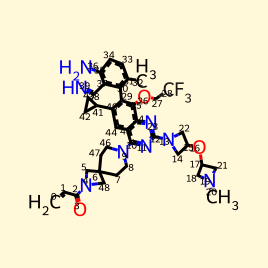 C=CC(=O)N1CC2(CCN(c3nc(N4CC(OC5CN(C)C5)C4)nc4c(OCC(F)(F)F)c(-c5c(C)ccc(N)c5C=N)c(C5CC5)cc34)CC2)C1